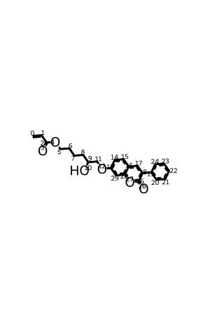 C=CC(=O)OCCCCC(O)COc1ccc2cc(-c3ccccc3)c(=O)oc2c1